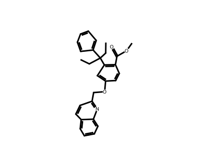 CCC(CC)(c1ccccc1)c1cc(OCc2ccc3ccccc3n2)ccc1C(=O)OC